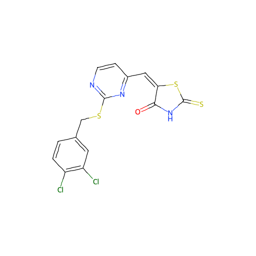 O=C1NC(=S)SC1=Cc1ccnc(SCc2ccc(Cl)c(Cl)c2)n1